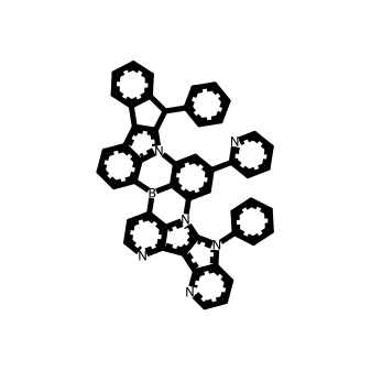 c1ccc(C2c3ccccc3-c3c2n2c4c(cccc34)B3c4c-2cc(-c2ccccn2)cc4-n2c4c3ccnc4c3c4ncccc4n(-c4ccccc4)c32)cc1